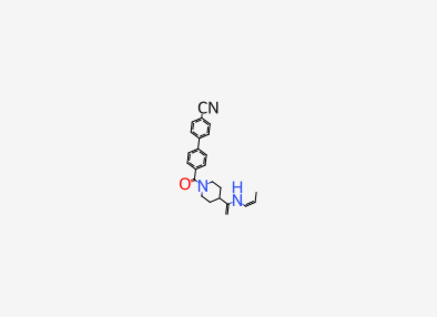 C=C(N/C=C\C)C1CCN(C(=O)c2ccc(-c3ccc(C#N)cc3)cc2)CC1